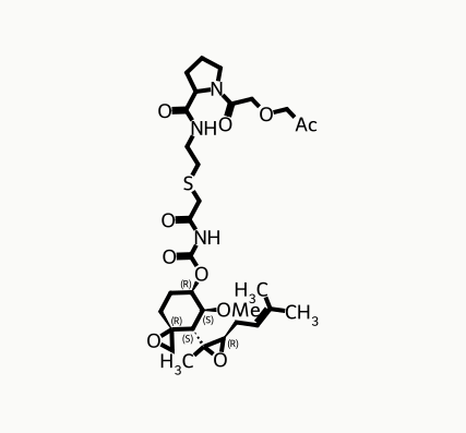 CO[C@H]1[C@H](C2(C)O[C@@H]2CC=C(C)C)[C@]2(CC[C@H]1OC(=O)NC(=O)CSCCNC(=O)C1CCCN1C(=O)COCC(C)=O)CO2